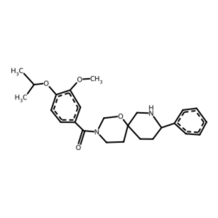 COc1cc(C(=O)N2CCC3(CCC(c4ccccc4)NC3)OC2)ccc1OC(C)C